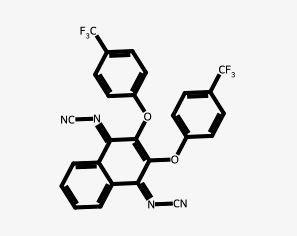 N#C/N=C1C(Oc2ccc(C(F)(F)F)cc2)=C(Oc2ccc(C(F)(F)F)cc2)/C(=N/C#N)c2ccccc2\1